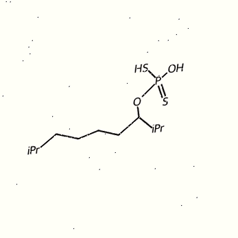 CC(C)CCCCC(OP(O)(=S)S)C(C)C